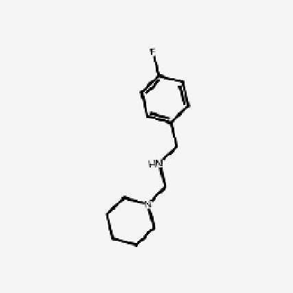 Fc1ccc(CNCN2CCCCC2)cc1